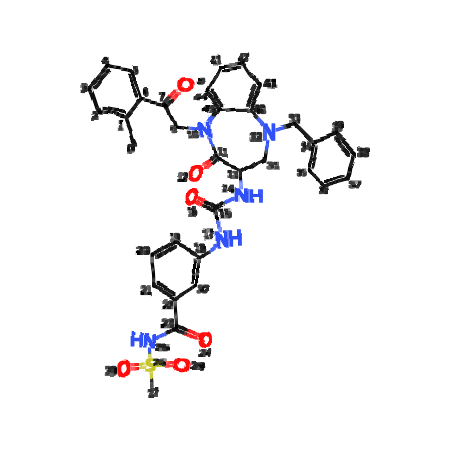 Cc1ccccc1C(=O)CN1C(=O)C(NC(=O)Nc2cccc(C(=O)NS(C)(=O)=O)c2)CN(Cc2ccccc2)c2ccccc21